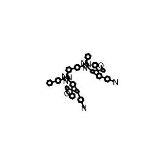 N#Cc1ccc(-c2ccc3c(c2)C2(c4ccccc4Oc4ccccc42)c2cc(-c4nc(-c5ccccc5)nc(-c5ccc(-c6cccc(-c7nc(-c8ccc(-c9ccccc9)cc8)nc(-c8ccc9c(c8)C8(c%10ccccc%10Oc%10ccccc%108)c8cc(-c%10ccc(C#N)cc%10)ccc8-9)n7)c6)cc5)n4)ccc2-3)cc1